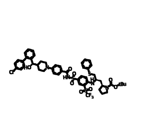 CC(C)(C)OC(=O)N1CCC[C@H]1C[C@H](CSc1ccccc1)Nc1ccc(S(=O)(=O)NC(=O)c2ccc(N3CCC([C@@H](O)c4ccccc4-c4ccc(Cl)cc4)CC3)cc2)cc1S(=O)(=O)C(F)(F)F